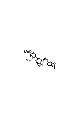 COc1ncc(-c2cc([C@H]3C[C@H]3c3ccc4ncsc4c3)c3nccn3n2)c(OC)n1